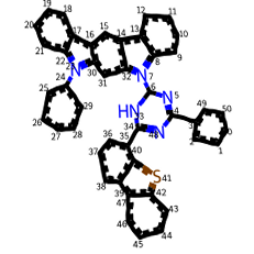 c1ccc(C2=NC(n3c4ccccc4c4cc5c6ccccc6n(-c6ccccc6)c5cc43)NC(c3cccc4c3sc3ccccc34)=N2)cc1